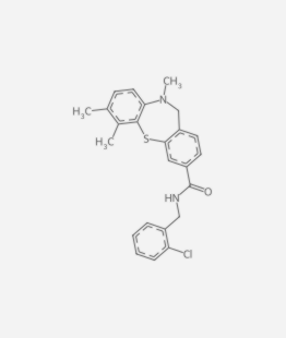 Cc1ccc2c(c1C)Sc1cc(C(=O)NCc3ccccc3Cl)ccc1CN2C